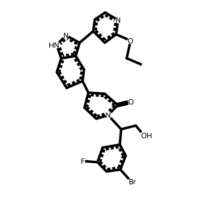 CCOc1cc(-c2n[nH]c3ccc(-c4ccn(C(CO)c5cc(F)cc(Br)c5)c(=O)c4)cc23)ccn1